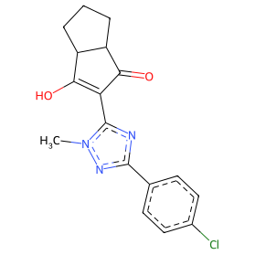 Cn1nc(-c2ccc(Cl)cc2)nc1C1=C(O)C2CCCC2C1=O